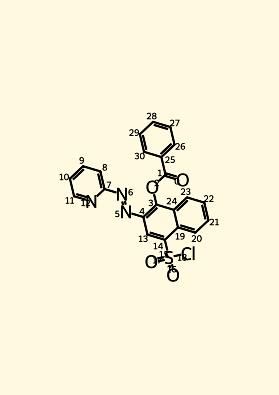 O=C(Oc1c(N=Nc2ccccn2)cc(S(=O)(=O)Cl)c2ccccc12)c1ccccc1